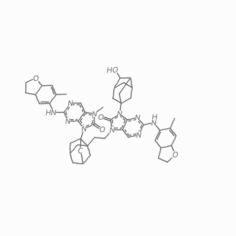 CC1=CC2OCCC2C=C1Nc1ncc2c(n1)n(C13CC4CC(C1)C(C3)C4O)c(=O)n2CCC12CC3CC(C1)CC2(n1c(=O)n(C)c2cnc(NC4=CC5CCOC5C=C4C)nc21)C3